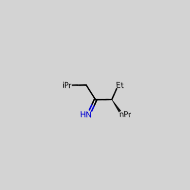 [CH2]CC[C@H](CC)C(=N)CC(C)C